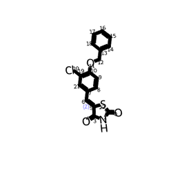 O=C1NC(=O)/C(=C/c2ccc(OCc3ccccc3)c(Cl)c2)S1